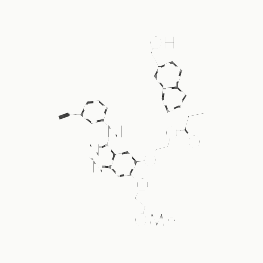 C#Cc1cccc(Nc2ncnc3cc(OCCOC)c(OCCOC(=O)C(C)c4ccc5cc(CO)ccc5c4)cc23)c1